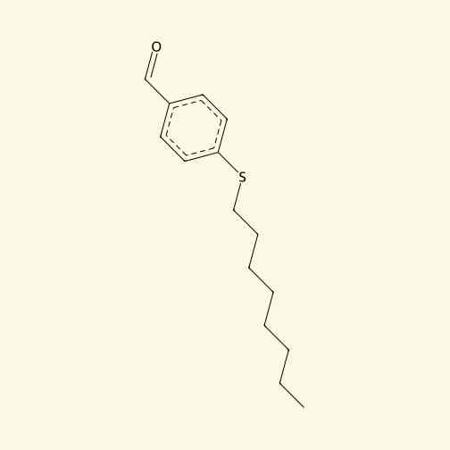 CCCCCCCCSc1ccc(C=O)cc1